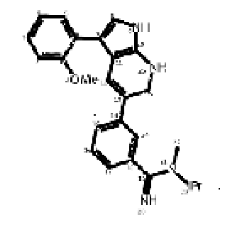 COc1ccccc1-c1c[nH]c2c1C=C(c1cccc(C(=N)N(C)C(C)C)c1)CN2